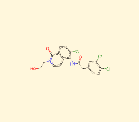 O=C(Cc1ccc(Cl)c(Cl)c1)Nc1c(Cl)ccc2c(=O)n(CCO)ccc12